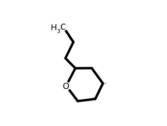 CCCC1C[CH]CCO1